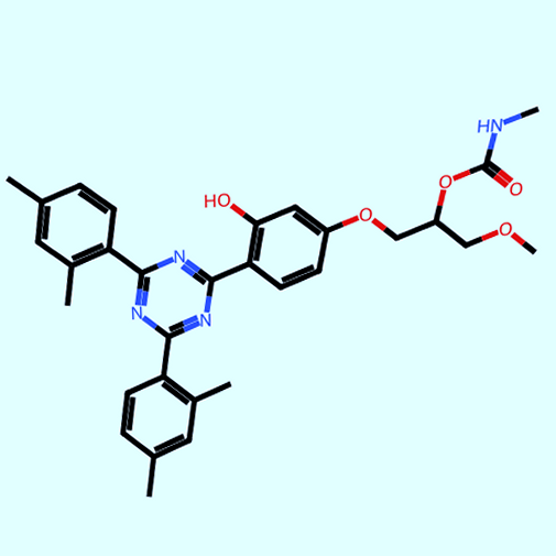 CNC(=O)OC(COC)COc1ccc(-c2nc(-c3ccc(C)cc3C)nc(-c3ccc(C)cc3C)n2)c(O)c1